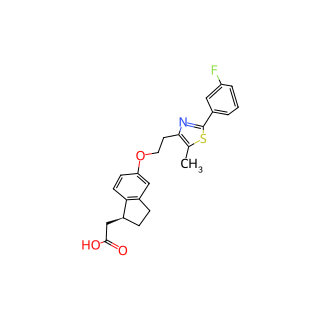 Cc1sc(-c2cccc(F)c2)nc1CCOc1ccc2c(c1)CC[C@H]2CC(=O)O